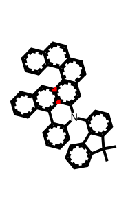 CC1(C)c2ccccc2-c2c(N(c3ccc4c(ccc5ccc6ccccc6c54)c3)c3ccccc3-c3cccc4ccccc34)cccc21